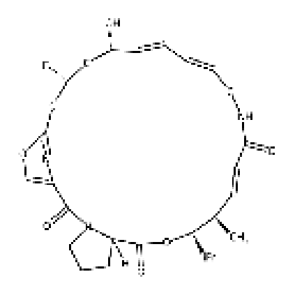 CC(C)[C@H]1OC(=O)[C@H]2CCCN2C(=O)c2coc(n2)C[C@H](F)C[C@H](O)/C=C/C=C/CNC(=O)/C=C/[C@H]1C